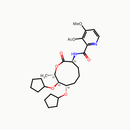 COc1ccnc(C(=O)N[C@H]2CCC[C@H](OC3CCCC3)[C@@H](OC3CCCC3)[C@H](C)OC2=O)c1OC(C)=O